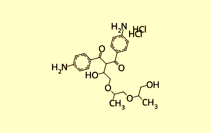 CC(CO)OCC(C)OCC(O)C(C(=O)c1ccc(N)cc1)C(=O)c1ccc(N)cc1.Cl.Cl